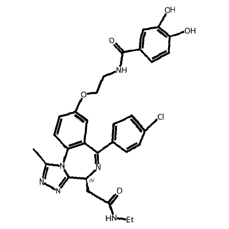 CCNC(=O)C[C@@H]1N=C(c2ccc(Cl)cc2)c2cc(OCCNC(=O)c3ccc(O)c(O)c3)ccc2-n2c(C)nnc21